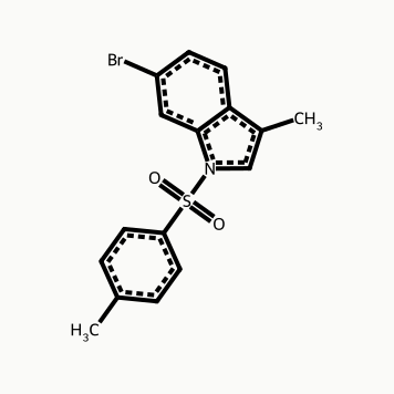 Cc1ccc(S(=O)(=O)n2cc(C)c3ccc(Br)cc32)cc1